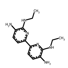 CCNc1nc(-c2ccc(N)c(NCC)n2)ccc1N